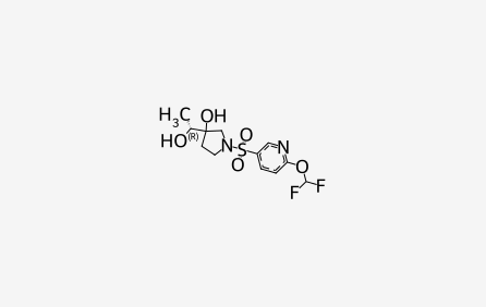 C[C@@H](O)C1(O)CCN(S(=O)(=O)c2ccc(OC(F)F)nc2)C1